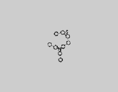 c1ccc(-c2ccc(N(c3ccc(-c4ccccc4)cc3)c3ccc(-c4cccc(-c5ccc6sc7ccc(-c8ccccc8)cc7c6c5)c4)cc3)cc2)cc1